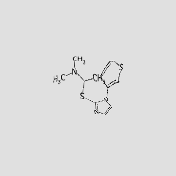 CC(Sc1nccn1-c1ccsc1)N(C)C